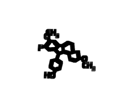 COc1ccc2c3c(ccc2c1)-c1cc(OC)c(F)cc1C3c1ccc(O)cc1